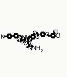 COC(=O)C(Cc1ccc(-c2ccc(C#N)cc2)cc1)NC(=O)[C@@H]1Cc2cc3c(cc2CN1C(=O)c1sc(N)nc1C)O[C@@H](c1ccc(OCc2ccc(Cl)c(Cl)c2)cc1)CO3